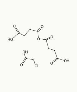 O=C(O)CCC(=O)OC(=O)CCC(=O)O.O=C(O)CCl